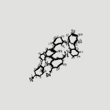 N#Cc1ccc2c(c1)c1ccccc1n2-c1c(C#N)ccc(C#N)c1-c1cccc(-c2cccc(-n3c4ccccc4c4ccccc43)c2)c1